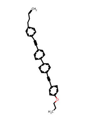 C=CCCc1ccc(C#Cc2ccc(-c3ccc(C#Cc4ccc(OCCC)cc4)cc3)cc2)cc1